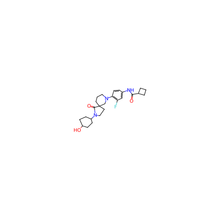 O=C(Nc1ccc(N2CCCC3(CCN(C4CCC(O)CC4)C3=O)C2)c(F)c1)C1CCC1